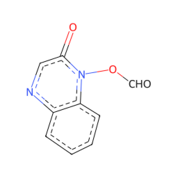 O=COn1c(=O)cnc2ccccc21